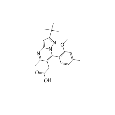 COc1cc(C)ccc1-c1c(CC(=O)O)c(C)nc2cc(C(C)(C)C)nn12